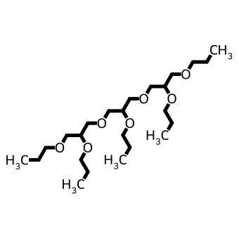 CCCOCC(COCC(COCC(COCCC)OCCC)OCCC)OCCC